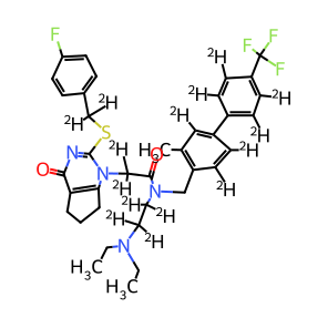 [2H]c1c([2H])c(-c2c([2H])c([2H])c(C(F)(F)F)c([2H])c2[2H])c([2H])c(C)c1CN(C(=O)C([2H])([2H])n1c(SC([2H])([2H])c2ccc(F)cc2)nc(=O)c2c1CCC2)C([2H])([2H])C([2H])([2H])N(CC)CC